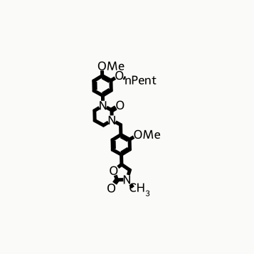 CCCCCOc1cc(N2CCCN(Cc3ccc(C4CN(C)C(=O)O4)cc3OC)C2=O)ccc1OC